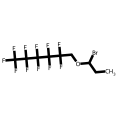 CCC(Br)OCC(F)(F)C(F)(F)C(F)(F)C(F)(F)C(F)(F)F